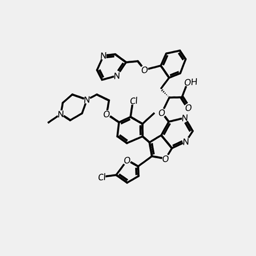 Cc1c(-c2c(-c3ccc(Cl)o3)oc3ncnc(O[C@H](Cc4ccccc4OCc4cnccn4)C(=O)O)c23)ccc(OCCN2CCN(C)CC2)c1Cl